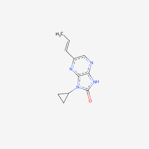 CC=Cc1cnc2[nH]c(=O)n(C3CC3)c2n1